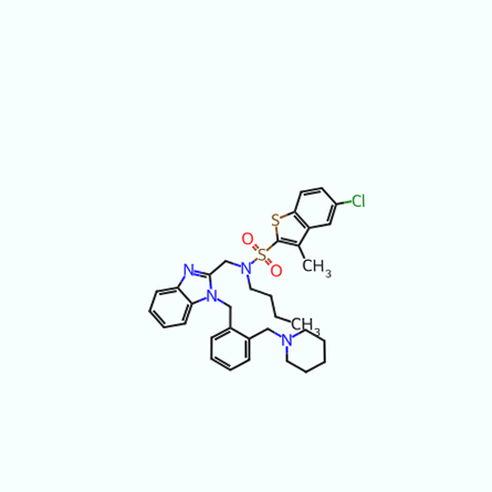 CCCCN(Cc1nc2ccccc2n1Cc1ccccc1CN1CCCCC1)S(=O)(=O)c1sc2ccc(Cl)cc2c1C